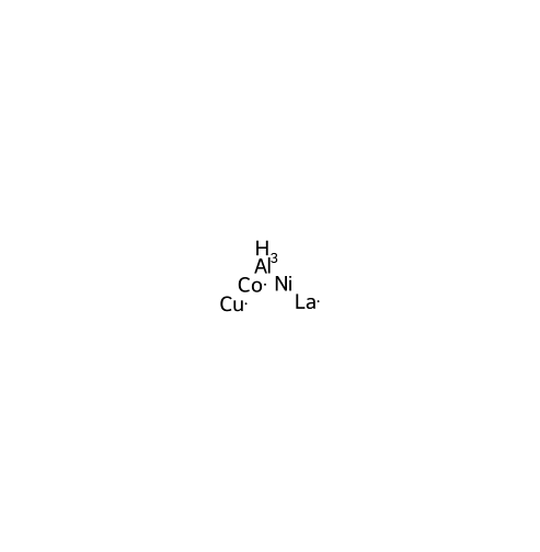 [AlH3].[Co].[Cu].[La].[Ni]